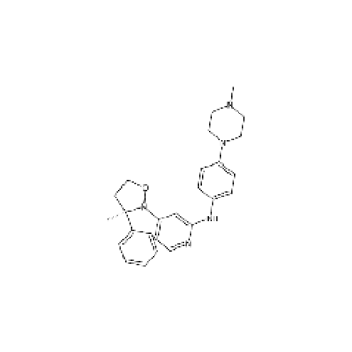 CN1CCN(c2ccc(Nc3cc(N4OCC[C@]4(C)c4ccccc4)ncn3)cc2)CC1